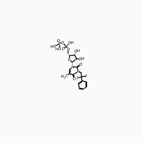 Cc1cn([C@@H]2O[C@H](COP(=O)(O)OP(=O)(O)O)[C@H](O)C2O)c(=O)n(CC(F)(F)c2ccccc2)c1=O